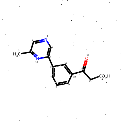 Cc1cncc(-c2cccc(C(=O)CC(=O)O)c2)n1